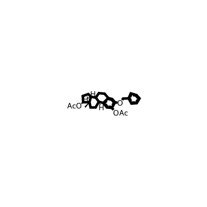 CC(=O)Oc1cc2c(cc1OCc1ccccc1)CC[C@@H]1[C@@H]2CC[C@]2(C)[C@@H](OC(C)=O)CC[C@@H]12